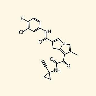 C#CC1(NC(=O)C(=O)c2c(C)cn3c2CC(C(=O)Nc2ccc(F)c(Cl)c2)=C3)CC1